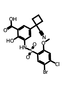 COc1cc(Cl)c(Br)cc1S(=O)(=O)Nc1cc(C2(C#N)CCC2)cc(C(=O)O)c1O